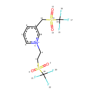 O=S(=O)(CC[n+]1cccc(CS(=O)(=O)C(F)(F)F)c1)C(F)(F)F